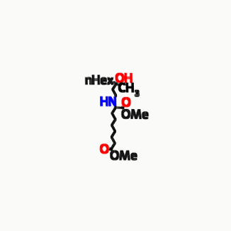 CCCCCCC(C)(O)CCNC(CCCCCCC(=O)OC)C(=O)OC